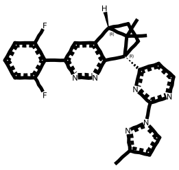 Cc1ccn(-c2nccc([C@]34CC[C@@H](c5cc(-c6c(F)cccc6F)nnc53)C4(C)C)n2)n1